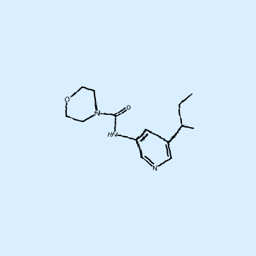 CCC(C)c1cncc(NC(=O)N2CCOCC2)c1